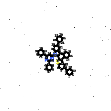 c1ccc(-c2ccc3sc4c(c3c2)c2ccccc2c2c3cc(-c5ccccc5)ccc3n(-c3cc(-c5ccccc5)nc(-c5ccccc5)n3)c42)cc1